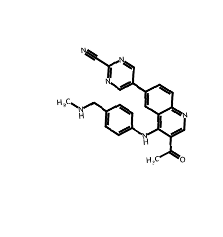 CNCc1ccc(Nc2c(C(C)=O)cnc3ccc(-c4cnc(C#N)nc4)cc23)cc1